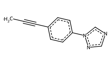 [CH2]C#Cc1ccc(-n2cncn2)cc1